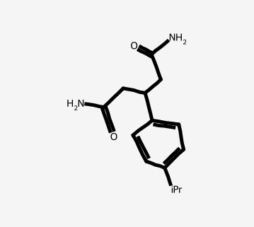 CC(C)c1ccc(C(CC(N)=O)CC(N)=O)cc1